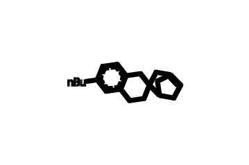 CCCCc1ccc2c(c1)CCC1(CC3=CCC1C3)C2